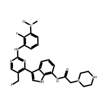 C[S+]([O-])c1cccc(Nc2ncc(CF)c(-c3c[nH]c4c(NC(=O)CN5CCNCC5)cccc34)n2)c1F